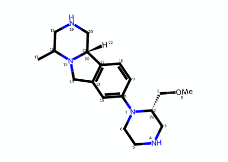 COC[C@@H]1CNCCN1c1ccc2c(c1)CN1C(C)CNC[C@H]21